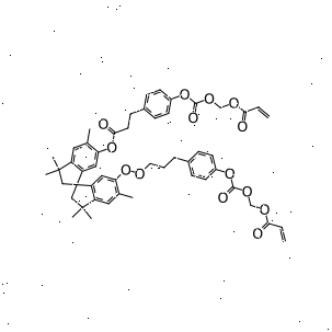 C=CC(=O)OCOC(=O)Oc1ccc(CCCOOc2cc3c(cc2C)C(C)(C)CC32CC(C)(C)c3cc(C)c(OC(=O)CCc4ccc(OC(=O)OCOC(=O)C=C)cc4)cc32)cc1